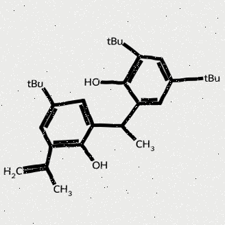 C=C(C)c1cc(C(C)(C)C)cc(C(C)c2cc(C(C)(C)C)cc(C(C)(C)C)c2O)c1O